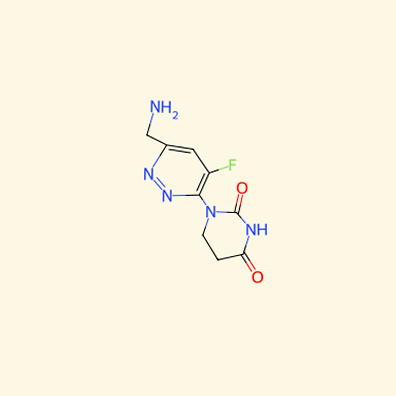 NCc1cc(F)c(N2CCC(=O)NC2=O)nn1